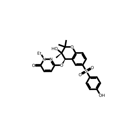 CCn1nc(O[C@@H]2c3cc(S(=O)(=O)c4ccc(O)cc4)ccc3OC(C)(C)[C@@]2(C)O)ccc1=O